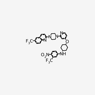 O=[N+]([O-])c1ccc(N[C@H]2CC[C@H](Oc3ccnc(N4CCN(c5ccc6cc(C(F)(F)F)ccc6n5)CC4)c3)CC2)cc1C(F)(F)F